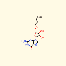 CSCCCOC[C@H]1O[C@@H](n2cnc3c(=O)[nH]c(N)nc32)[C@H](O)[C@@H]1O